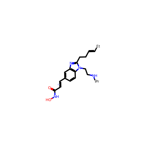 CCC=CCCc1nc2cc(/C=C/C(=O)NO)ccc2n1CCNC(C)C